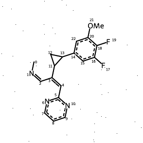 C/N=C\C(=C/c1ncccn1)C1CC1c1cc(F)c(F)c(OC)c1